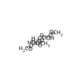 C=CC(=O)OCC(O)COC(=O)C(=C)OC(C)(C)C(=O)OCC(O)COC(=O)C=C